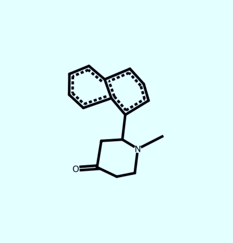 CN1CCC(=O)CC1c1cccc2ccccc12